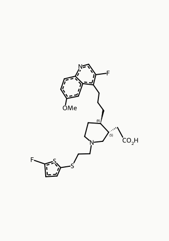 COc1ccc2ncc(F)c(CCC[C@@H]3CCN(CCSc4ccc(F)s4)C[C@H]3CC(=O)O)c2c1